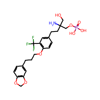 NC(CO)(CCc1ccc(OCCCc2ccc3c(c2)OCO3)c(C(F)(F)F)c1)COP(=O)(O)O